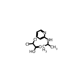 CC(C)Nc1ccccn1.O=C(O)C(Cl)Cl